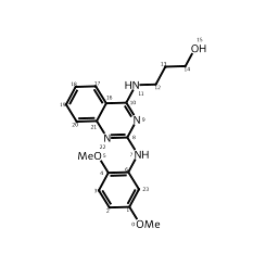 COc1ccc(OC)c(Nc2nc(NCCCO)c3ccccc3n2)c1